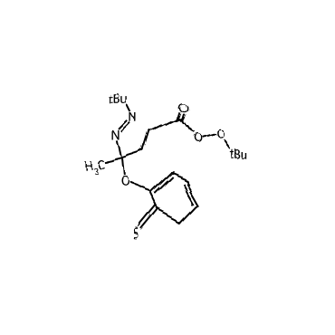 CC(C)(C)N=NC(C)(CCC(=O)OOC(C)(C)C)OC1=CC=CCC1=S